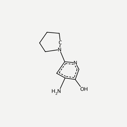 Nc1cc(N2CCCCC2)ncc1O